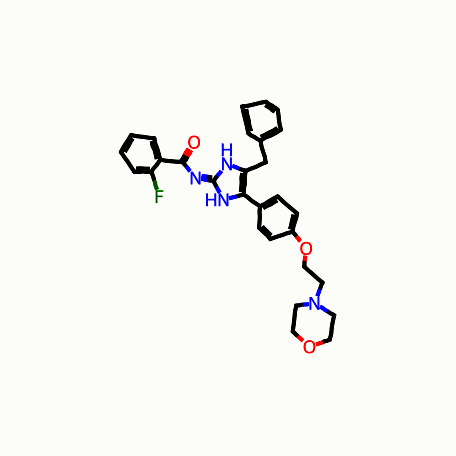 O=C(/N=c1\[nH]c(Cc2ccccc2)c(-c2ccc(OCCN3CCOCC3)cc2)[nH]1)c1ccccc1F